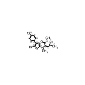 COC(=O)C(=CN(C)C)N(C)c1nc(-c2ccc(Cl)cc2)c(Br)s1